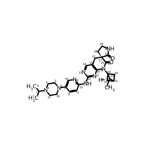 CC(C)N1CCN(c2ccc(Nc3ncc4c(n3)N(C35CC(C3)[C@H]5C)C(=O)[C@]3(CCNC3=O)C4)nc2)CC1